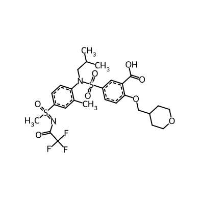 Cc1cc(S(C)(=O)=NC(=O)C(F)(F)F)ccc1N(CC(C)C)S(=O)(=O)c1ccc(OCC2CCOCC2)c(C(=O)O)c1